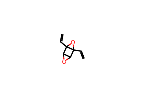 C=CC12OC1(C=C)C1OC12